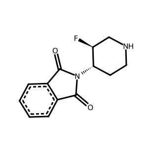 O=C1c2ccccc2C(=O)N1[C@H]1CCNC[C@@H]1F